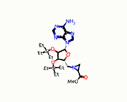 CC[Si](CC)(CC)OC1C(O[Si](CC)(CC)CC)[C@@H](CN2CC2C(=O)OC)O[C@H]1n1cnc2c(N)ncnc21